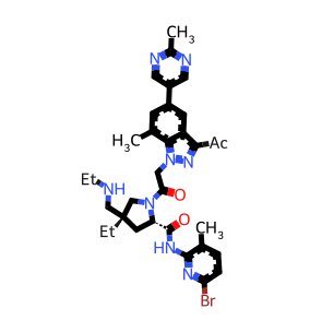 CCNC[C@@]1(CC)C[C@@H](C(=O)Nc2nc(Br)ccc2C)N(C(=O)Cn2nc(C(C)=O)c3cc(-c4cnc(C)nc4)cc(C)c32)C1